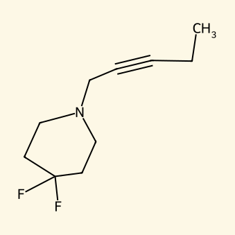 CCC#CCN1CCC(F)(F)CC1